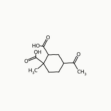 CC(=O)C1CCC(C)(C(=O)O)C(C(=O)O)C1